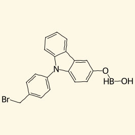 OBOc1ccc2c(c1)c1ccccc1n2-c1ccc(CBr)cc1